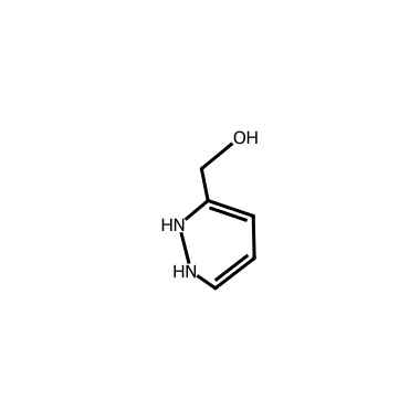 OCC1=CC=CNN1